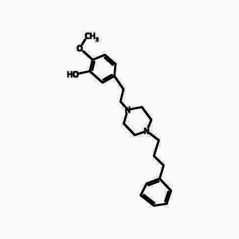 COc1ccc(CCN2CCN(CCCc3ccccc3)CC2)cc1O